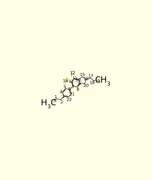 CCCc1ccc(-c2cc3c(c(F)c2F)CC(CCC)C3)cc1